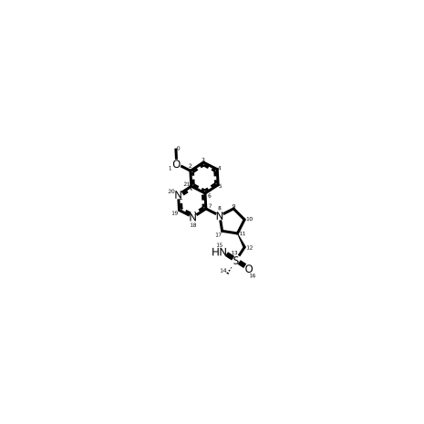 COc1cccc2c(N3CC[C@@H](C[S@](C)(=N)=O)C3)ncnc12